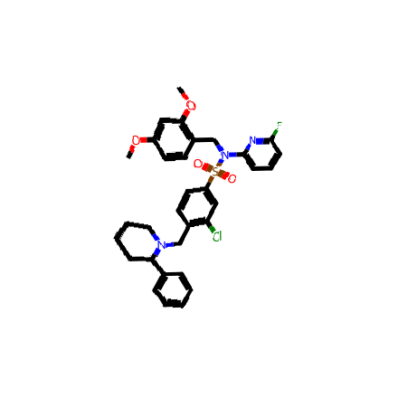 COc1ccc(CN(c2cccc(F)n2)S(=O)(=O)c2ccc(CN3CCCCC3c3ccccc3)c(Cl)c2)c(OC)c1